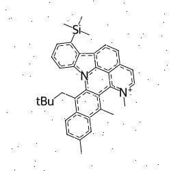 Cc1ccc2c(CC(C)(C)C)c3c(c(C)c2c1)c1c2c(ccc4c5c([Si](C)(C)C)cccc5n3c42)cc[n+]1C